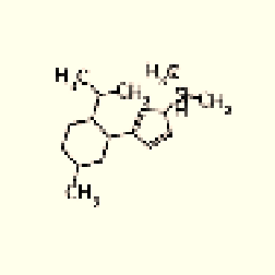 CC1CCC(C(C)C)C(C2=CC([SiH](C)C)C=C2)C1